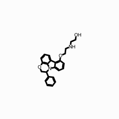 OCCNCCOc1cccc2c1c1cccc3c1n2C(c1ccccc1)CO3